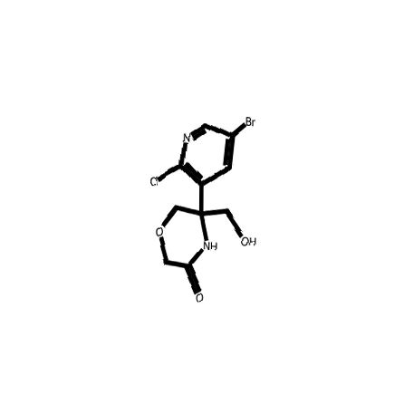 O=C1COCC(CO)(c2cc(Br)cnc2Cl)N1